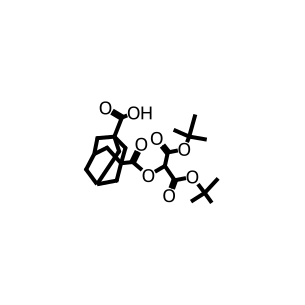 CC(C)(C)OC(=O)C(OC(=O)C12CC3CC(CC(C(=O)O)(C3)C1)C2)C(=O)OC(C)(C)C